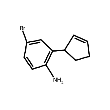 Nc1ccc(Br)cc1C1C=CCC1